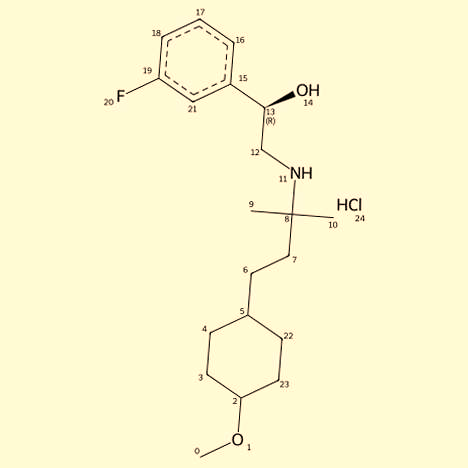 COC1CCC(CCC(C)(C)NC[C@H](O)c2cccc(F)c2)CC1.Cl